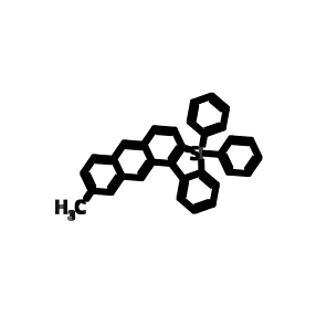 Cc1ccc2cc3ccc4c(c3cc2c1)-c1ccccc1[Si]4(c1ccccc1)c1ccccc1